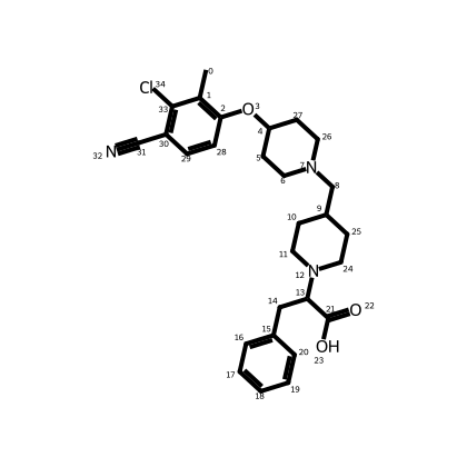 Cc1c(OC2CCN(CC3CCN(C(Cc4ccccc4)C(=O)O)CC3)CC2)ccc(C#N)c1Cl